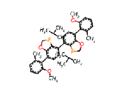 COc1cccc(C)c1-c1ccc(-c2ccc(-c3c(C)cccc3OC)c3c2[P@](C(C)(C)C)CO3)c2c1OC[P@@]2C(C)(C)C